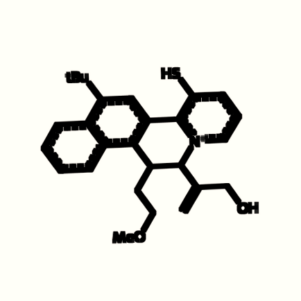 C=C(CO)C1C(CCOC)c2c(cc(C(C)(C)C)c3ccccc23)-c2c(S)ccc[n+]21